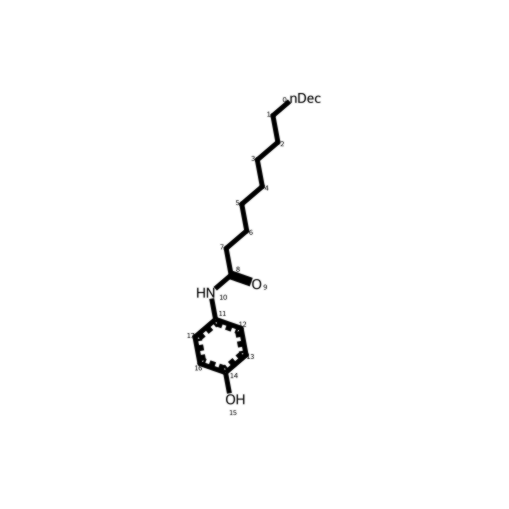 CCCCCCCCCCCCCCCCCC(=O)Nc1ccc(O)cc1